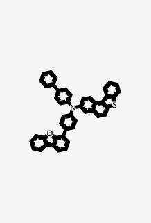 c1ccc(-c2ccc(N(c3ccc(-c4cccc5c4oc4ccccc45)cc3)c3ccc4c(ccc5sc6ccccc6c54)c3)cc2)cc1